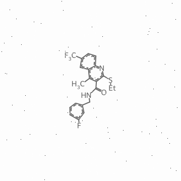 CCSc1nc2ccc(C(F)(F)F)cc2c(C)c1C(=O)NCc1cccc(F)c1